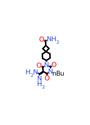 CCCCN1C(=O)C(=C(N)N)C(=O)N(C2CCC3(CC2)CC(C(N)=O)C3)C1=O